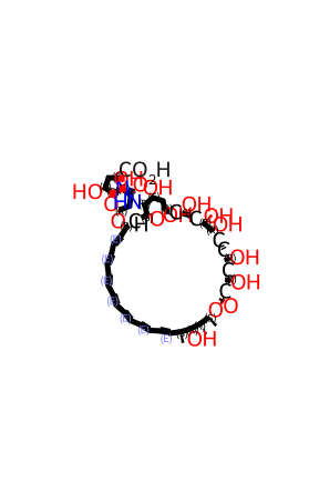 C[C@@H]1[C@H](O)[C@@H](C)/C=C/C=C/C=C/C=C/C=C/C=C/C=C/[C@H](O[C@H]2CC[C@H](O)[C@@H](C)O2)C[C@@H]2O[C@](O)(C[C@@H](O)C[C@@H](O)[C@H](O)CC[C@@H](O)C[C@@H](O)CC(=O)O[C@H]1C)C[C@H](O)[C@H]2NC(=O)N1C[C@@H](O)C[C@H]1C(=O)O